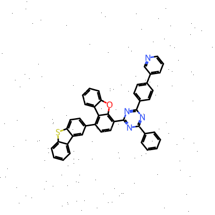 c1ccc(-c2nc(-c3ccc(-c4cccnc4)cc3)nc(-c3ccc(-c4ccc5sc6ccccc6c5c4)c4c3oc3ccccc34)n2)cc1